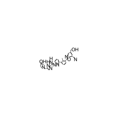 Cc1c(NC(=N)c2ncc(CN3CC[C@H](O)C3)[nH]2)cccc1-c1cccc(-c2nc3cc(CO)cc(C#N)c3o2)c1C